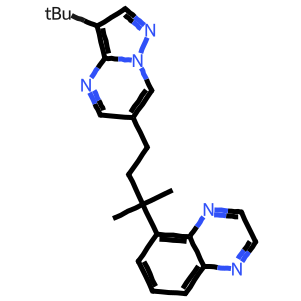 CC(C)(C)c1cnn2cc(CCC(C)(C)c3cccc4nccnc34)cnc12